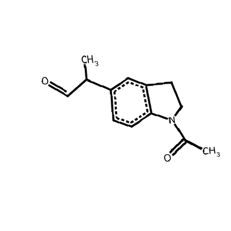 CC(=O)N1CCc2cc(C(C)C=O)ccc21